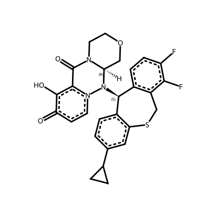 O=C1c2c(O)c(=O)ccn2N([C@@H]2c3ccc(C4CC4)cc3SCc3c2ccc(F)c3F)[C@@H]2COCCN12